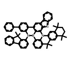 CC1(C)CCC(C)(C)c2cc3c(cc21)N1c2c(cccc2C3(C)C)B2c3c(cc4c(sc5ccccc54)c31)-c1ccc(-c3ccccc3)cc1N2c1cccc2c1C(C)(C)c1ccccc1-2